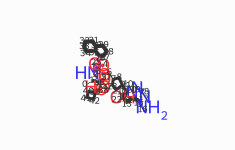 C[C@H](NP(=O)(OC[C@H]1C[C@@](C)(c2ccc3c(N)ncnn23)[C@H](O)[C@@H]1O)Oc1cccc2ccccc12)C(=O)OC1CCC1